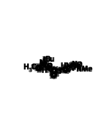 CNC(=O)c1cnc(Nc2cc(COc3ccc(NC(=O)Nc4cc(C(C)(C)C)nn4-c4cccc(C)c4)c4ccccc34)ccn2)cn1